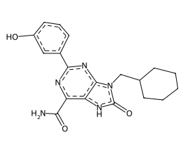 NC(=O)c1nc(-c2cccc(O)c2)nc2c1[nH]c(=O)n2CC1CCCCC1